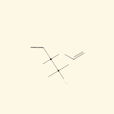 C=COC(O)(CC)C(C)(C)N.O